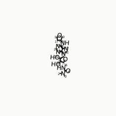 CN(C)C(=O)NC[C@H]1O[C@@H](n2cnc3c(N[C@@H]4CCOC4)ncnc32)[C@H](O)[C@H]1O